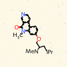 CNC(COc1ccc2c3ccncc3c(=O)n(C)c2c1)CC(C)C